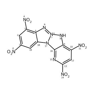 O=[N+]([O-])c1cc([N+](=O)[O-])c2n[n+]3[nH]c4c([N+](=O)[O-])cc([N+](=O)[O-])nc4n3c2c1